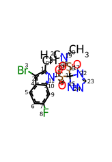 Cc1c(Br)c2ccc(F)cc2n1S(=O)(=O)C1(S(=O)(=O)N(C)C)N=CN=N1